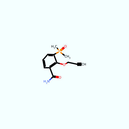 C#CCOc1c(C(N)=O)cccc1P(C)(C)=O